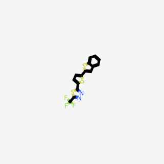 FC(F)(F)c1nnc(-c2ccc(-c3cc4ccccc4s3)s2)s1